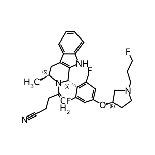 C=C(CCC#N)N1[C@@H](c2c(F)cc(O[C@@H]3CCN(CCCF)C3)cc2F)c2[nH]c3ccccc3c2C[C@@H]1C